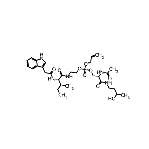 C=CCOP(=O)(OCCNC(=O)[C@@H](NC(=O)Cc1c[nH]c2ccccc12)[C@@H](C)CC)OC[C@H](NC(C)=O)C(=O)NCCC(C)O